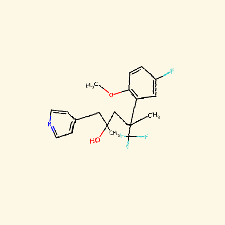 COc1ccc(F)cc1C(C)(CC(C)(O)Cc1ccncc1)C(F)(F)F